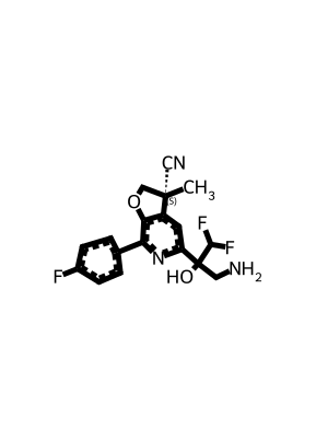 C[C@]1(C#N)COc2c1cc(C(O)(CN)C(F)F)nc2-c1ccc(F)cc1